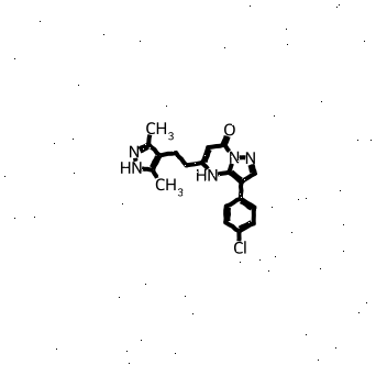 Cc1n[nH]c(C)c1CCc1cc(=O)n2ncc(-c3ccc(Cl)cc3)c2[nH]1